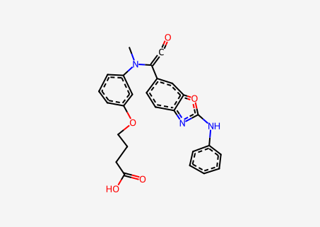 CN(C(=C=O)c1ccc2nc(Nc3ccccc3)oc2c1)c1cccc(OCCCC(=O)O)c1